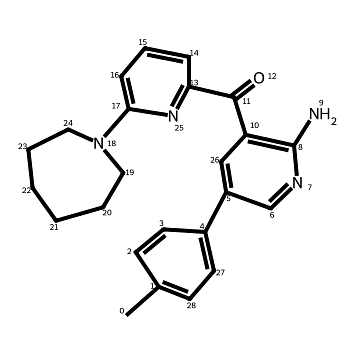 Cc1ccc(-c2cnc(N)c(C(=O)c3cccc(N4CCCCCC4)n3)c2)cc1